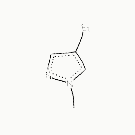 CCc1cnn(C)c1